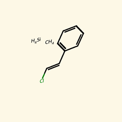 C.ClC=Cc1ccccc1.[SiH4]